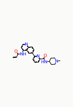 C=CC(=O)Nc1ccnc2ccc(-c3cccc(C(=O)NC4CCN(C)CC4)n3)cc12